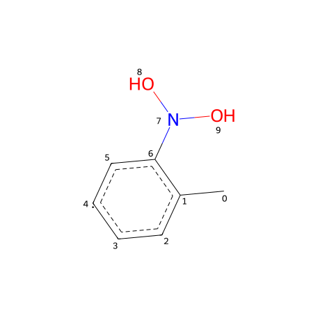 Cc1cc[c]cc1N(O)O